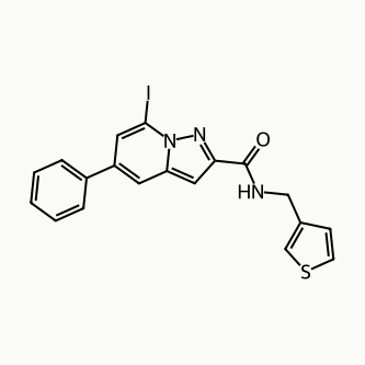 O=C(NCc1ccsc1)c1cc2cc(-c3ccccc3)cc(I)n2n1